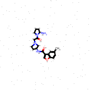 Cc1ccc2occ(C(=O)N[C@H]3CCN(CC(=O)N4CCC[C@H]4N)C3)c2c1